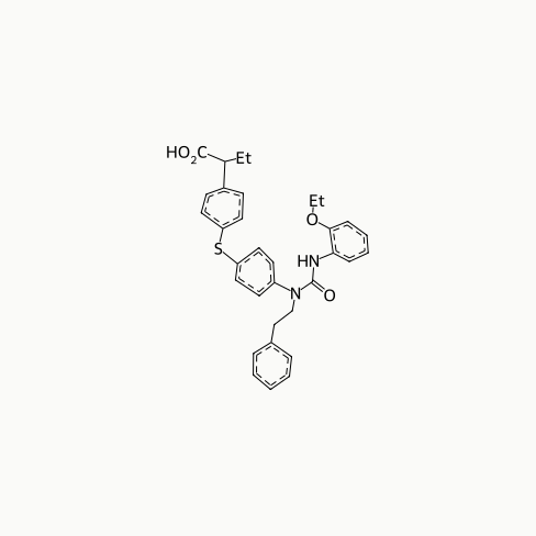 CCOc1ccccc1NC(=O)N(CCc1ccccc1)c1ccc(Sc2ccc(C(CC)C(=O)O)cc2)cc1